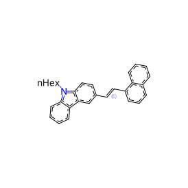 CCCCCCn1c2ccccc2c2cc(/C=C/c3cccc4ccccc34)ccc21